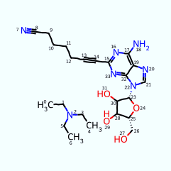 CCN(CC)CC.N#CCCCCC#Cc1nc(N)c2ncn([C@@H]3O[C@H](CO)C(O)C3O)c2n1